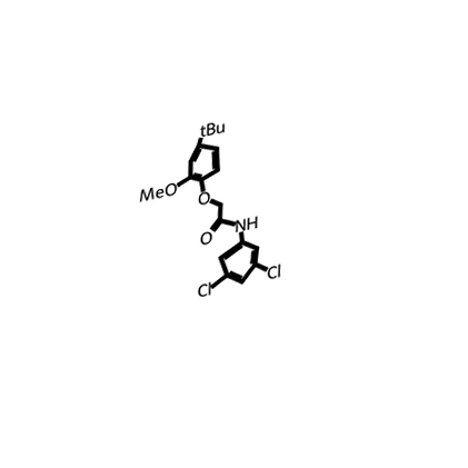 COc1cc(C(C)(C)C)ccc1OCC(=O)Nc1cc(Cl)cc(Cl)c1